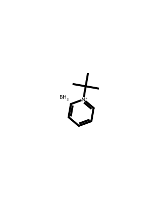 B.CC(C)(C)[n+]1ccccc1